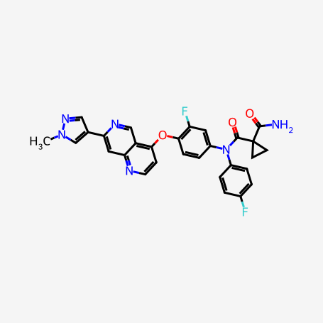 Cn1cc(-c2cc3nccc(Oc4ccc(N(C(=O)C5(C(N)=O)CC5)c5ccc(F)cc5)cc4F)c3cn2)cn1